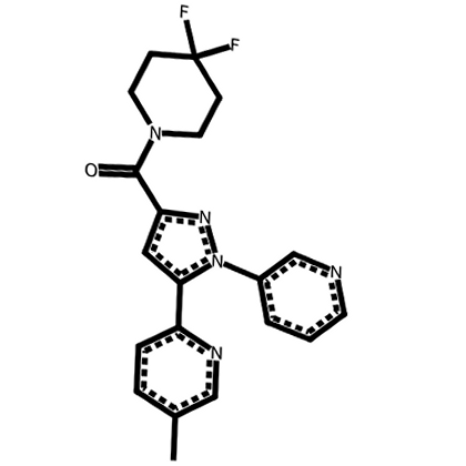 Cc1ccc(-c2cc(C(=O)N3CCC(F)(F)CC3)nn2-c2cccnc2)nc1